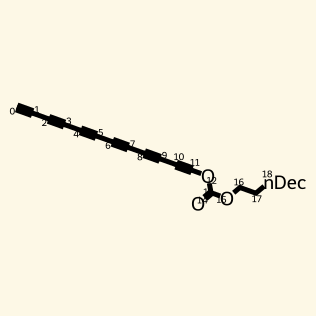 C#CC#CC#CC#CC#CC#COC(=O)OCCCCCCCCCCCC